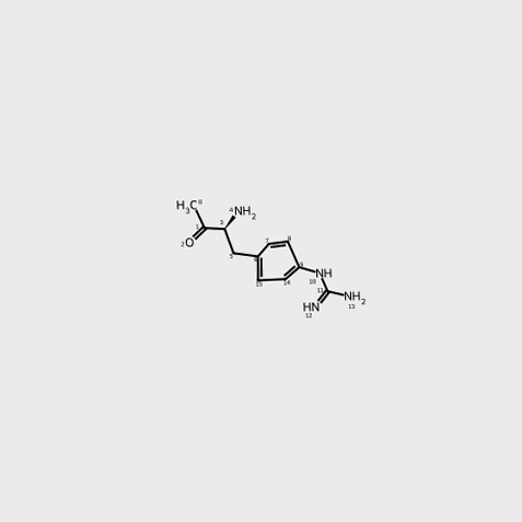 CC(=O)[C@@H](N)Cc1ccc(NC(=N)N)cc1